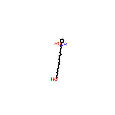 OCCCCCCCCCCCCCCCCCCCCNC1(O)CCCCC1